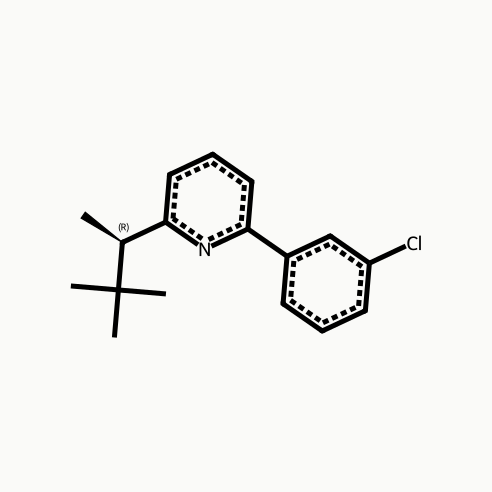 C[C@@H](c1cccc(-c2cccc(Cl)c2)n1)C(C)(C)C